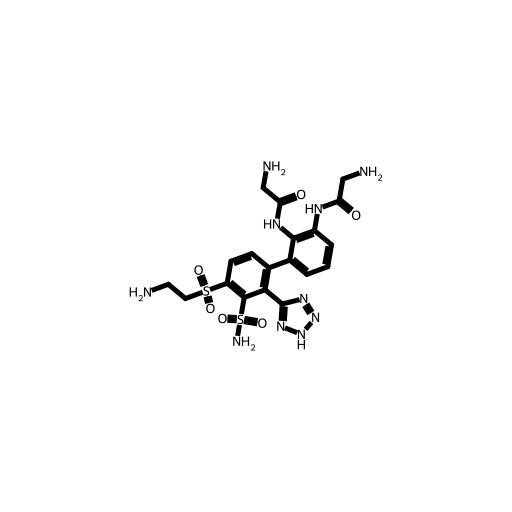 NCCS(=O)(=O)c1ccc(-c2cccc(NC(=O)CN)c2NC(=O)CN)c(-c2nn[nH]n2)c1S(N)(=O)=O